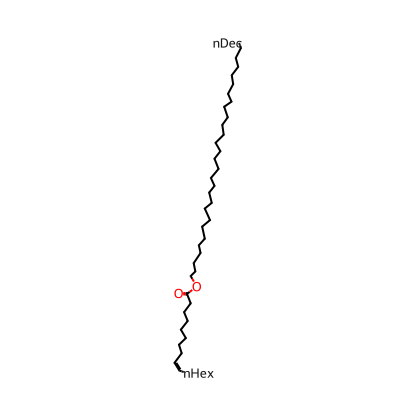 CCCCCC/C=C\CCCCCCCC(=O)OCCCCCCCCCCCCCCCCCCCCCCCCCCCCCCCCCCCCCC